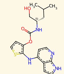 CC(C)C[C@@H](CO)NC(=O)Oc1ccsc1Nc1ccnc2[nH]ccc12